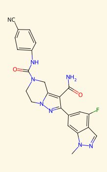 Cn1ncc2c(F)cc(-c3nn4c(c3C(N)=O)CN(C(=O)Nc3ccc(C#N)cc3)CC4)cc21